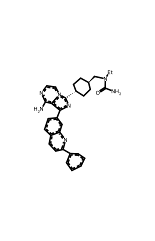 CCN(C[C@H]1CC[C@H](c2nc(-c3ccc4ccc(-c5ccccc5)nc4c3)c3c(N)nccn32)CC1)C(N)=O